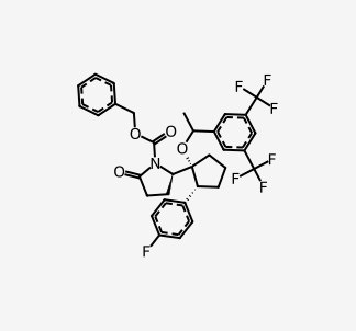 CC(O[C@]1([C@H]2CCC(=O)N2C(=O)OCc2ccccc2)CCC[C@@H]1c1ccc(F)cc1)c1cc(C(F)(F)F)cc(C(F)(F)F)c1